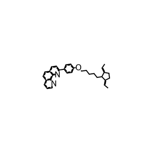 C/C=C1\CC/C(=C\C)C1CCCCCOc1ccc(-c2ccc3ccc4cccnc4c3n2)cc1